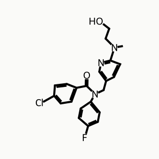 CN(CCO)c1ccc(CN(C(=O)c2ccc(Cl)cc2)c2ccc(F)cc2)cn1